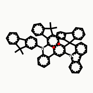 CC1(C)c2ccccc2-c2ccc(N(c3ccccc3-c3ccc4c(c3)-n3c5ccccc5c5cccc(c53)C43c4ccccc4-c4ccccc43)c3cccc4c3-c3ccccc3C4(C)C)cc21